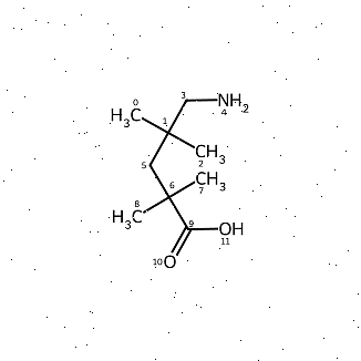 CC(C)(CN)CC(C)(C)C(=O)O